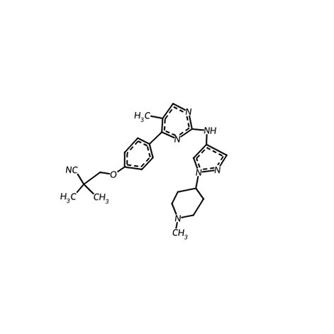 Cc1cnc(Nc2cnn(C3CCN(C)CC3)c2)nc1-c1ccc(OCC(C)(C)C#N)cc1